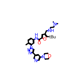 Cc1ccc(NC(=O)c2cc(CNCCN(C)C)c(C(C)(C)C)o2)cc1-n1cc(-c2cncc(N3CCOCC3)c2)nn1